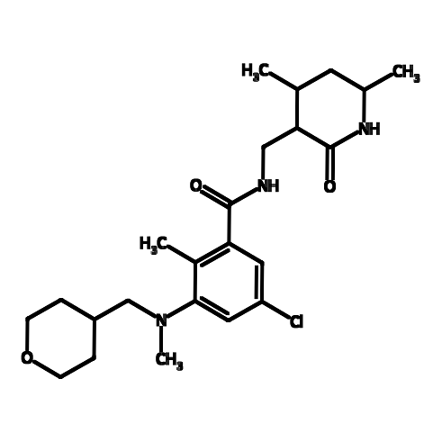 Cc1c(C(=O)NCC2C(=O)NC(C)CC2C)cc(Cl)cc1N(C)CC1CCOCC1